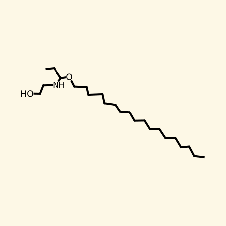 CCCCCCCCCCCCCCCCCCOC(CC)NCCO